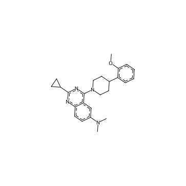 COc1ccccc1C1CCN(c2nc(C3CC3)nc3ccc(N(C)C)cc23)CC1